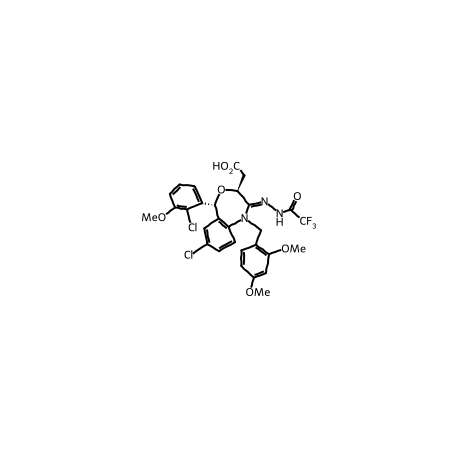 COc1ccc(CN2C(=NNC(=O)C(F)(F)F)[C@H](CC(=O)O)O[C@@H](c3cccc(OC)c3Cl)c3cc(Cl)ccc32)c(OC)c1